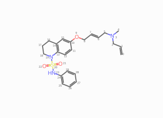 C=CCN(C)CC=CCOc1ccc2c(c1)CCCN2S(=O)(=O)Nc1ccccc1